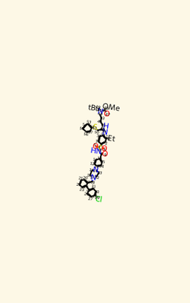 CCc1cc(S(=O)(=O)NC(=O)c2ccc(N3CCN(Cc4ccccc4-c4ccc(Cl)cc4)CC3)cc2)ccc1N[C@H](CCCCN(C(=O)OC)C(C)(C)C)CSc1ccccc1